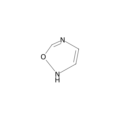 C1=CNOC=N1